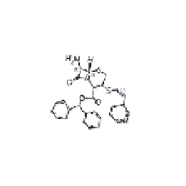 N[C@@H]1C(=O)N2C(C(=O)OC(c3ccccc3)c3ccccc3)=C(S/C=C\c3cccnc3)CS[C@@H]12